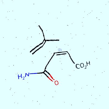 C=C(C)C.NC(=O)/C=C\C(=O)O